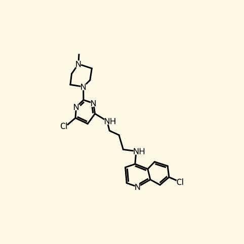 CN1CCN(c2nc(Cl)cc(NCCCNc3ccnc4cc(Cl)ccc34)n2)CC1